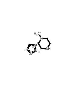 CN1CCNCC1.c1nnn[nH]1